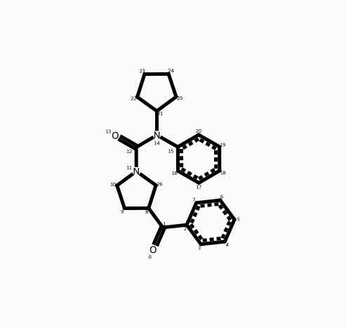 O=C(c1ccccc1)C1CCN(C(=O)N(c2ccccc2)C2CCCC2)C1